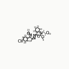 COCCN(C(=O)OC)c1ccccc1C=NN=C(C)C(=NOC)c1ccc(Cl)cc1